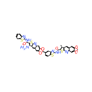 Cc1c(C(=O)Nc2nc3cc(C4Oc5cc6cc7c(N)c(C(=O)Nc8nc9ccccc9s8)sc7nc6cc5O4)ccc3s2)sc2nc3cc4c(cc3cc12)OCO4